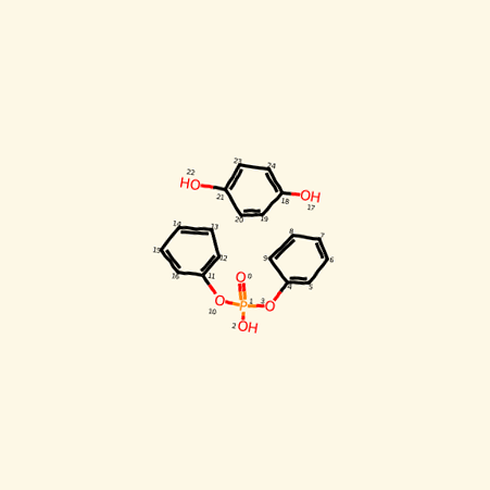 O=P(O)(Oc1ccccc1)Oc1ccccc1.Oc1ccc(O)cc1